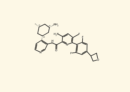 C[C@@H]1C[C@H](N)C[C@H](c2ccncc2NC(=O)c2nc(-c3c(F)cc(C4COC4)cc3F)c(F)cc2N)C1